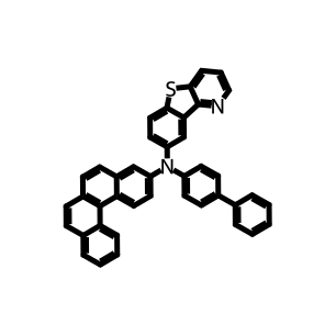 c1ccc(-c2ccc(N(c3ccc4c(ccc5ccc6ccccc6c54)c3)c3ccc4sc5cccnc5c4c3)cc2)cc1